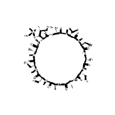 CC[C@H]1NC(=O)[C@@H]([C@H](O[Si](C)(C)C(C)(C)C)[C@H](C)CC=O)N(C)C(=O)[C@@H](C(C)C)N(C)C(=O)[C@@H](CC(C)C)N(C)C(=O)[C@@H](CC(C)C)N(C)C(=O)[C@H](C)NC(=O)[C@@H](C)NC(=O)[C@@H](CC(C)C)N(C)C(=O)[C@@H](C(C)C)NC(=O)[C@H](CC(C)C)N(C)C(=O)[C@@H](C(F)F)N(C)C1=O